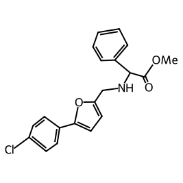 COC(=O)C(NCc1ccc(-c2ccc(Cl)cc2)o1)c1ccccc1